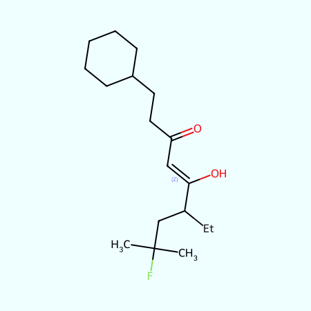 CCC(CC(C)(C)F)/C(O)=C/C(=O)CCC1CCCCC1